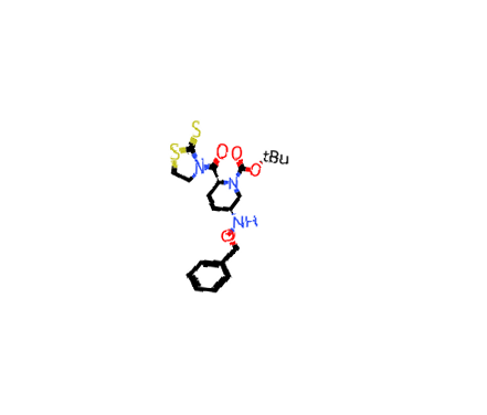 CC(C)(C)OC(=O)N1C[C@H](NOCc2ccccc2)CC[C@H]1C(=O)N1CCSC1=S